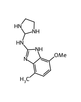 COc1ccc(C)c2nc(NC3NCCN3)[nH]c12